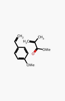 C=C(C)C(=O)OC.C=Cc1ccc(OC)cc1